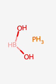 OBO.P